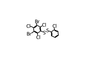 Clc1ccccc1SSc1c(Cl)c(Br)c(Cl)c(Br)c1Cl